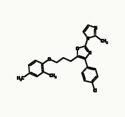 Cc1ccc(OCCCc2oc(-n3ccnc3C)nc2-c2ccc(Cl)cc2)c(C)c1